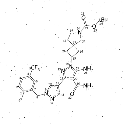 Cc1ccc(C(F)(F)F)cc1Cn1cc(-c2nn([C@H]3C[C@@]4(CCN(C(=O)OC(C)(C)C)C4)C3)c(N)c2C(N)=O)cn1